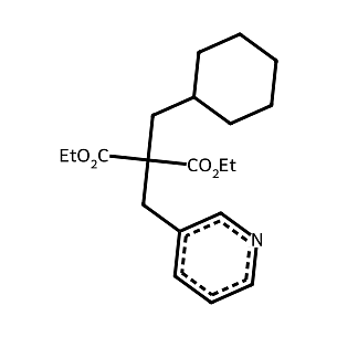 CCOC(=O)C(Cc1cccnc1)(CC1CCCCC1)C(=O)OCC